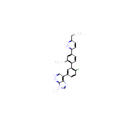 CCn1cnc2c(-c3ccc(F)c(-c4ccc(-c5ccc(COC)nn5)cc4OC)c3)cnnc21